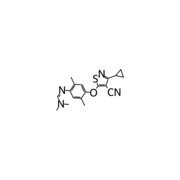 Cc1cc(Oc2snc(C3CC3)c2C#N)c(C)cc1/N=C\N(C)C